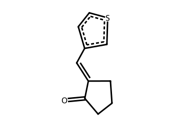 O=C1CCCC1=Cc1ccsc1